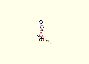 CCOC(=O)C1(C(=O)N2CCCC2COC(=O)N2CCN(c3ccccn3)CC2)CCCC1